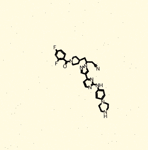 N#CCC(CC1CCN(C(=O)c2ccc(F)cc2F)CC1)n1cc(-c2ccnc(Nc3ccc(N4CCNCC4)cc3)n2)cn1